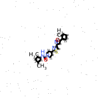 Cc1ccc(C)c(NC(=O)N2CCC(c3nc(C4=NOC(c5ccccc5C)C4)cs3)CC2)c1